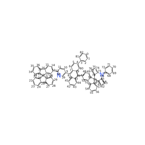 c1ccc(-c2ccc3c(-c4ccc(-c5ccc6c(c5)C5(c7ccccc7-c7ccccc75)c5ccccc5-6)nc4)c4ccccc4c(-c4ccc5c(c4)-c4ccccc4C54c5ccccc5N(c5ccccc5)c5ccccc54)c3c2)cc1